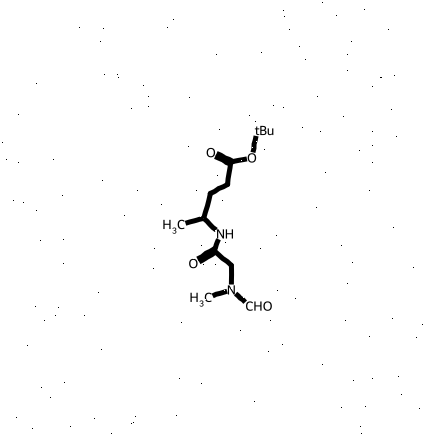 CC(CCC(=O)OC(C)(C)C)NC(=O)CN(C)C=O